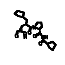 O=CN(O)C[C@@H](CC1CCCC1)C(=O)N1CCC[C@H]1C(=O)NC(=O)C1CCCC1